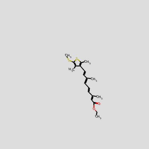 CCOC(=O)/C=C(C)/C=C/C=C(C)/C=C/c1c(C)sc(SC)c1C